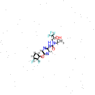 CCN(C[C@@H](O)C(F)(F)F)C(=O)Nc1cnc(Oc2cccc(F)c2F)cn1